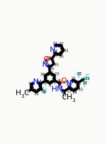 Cc1cnc(-c2cc(C(=O)N[C@H](C)c3ccc(C(F)(F)F)cn3)cc(C3=NOC(c4ccccn4)C3)c2)c(F)c1